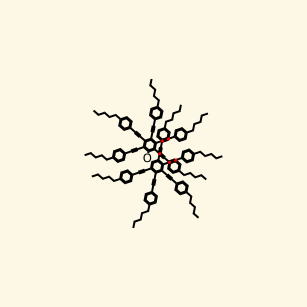 CCCCCc1ccc(C#Cc2c(C#Cc3ccc(CCCCC)cc3)c(C#Cc3ccc(CCCCC)cc3)c(Oc3c(C#Cc4ccc(CCCCC)cc4)c(C#Cc4ccc(CCCCC)cc4)c(C#Cc4ccc(CCCCC)cc4)c(C#Cc4ccc(CCCCC)cc4)c3C#Cc3ccc(CCCCC)cc3)c(C#Cc3ccc(CCCCC)cc3)c2C#Cc2ccc(CCCCC)cc2)cc1